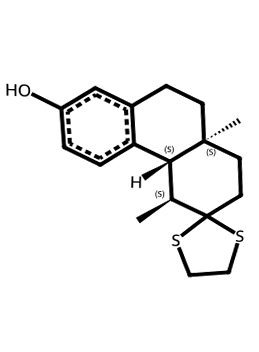 C[C@H]1[C@@H]2c3ccc(O)cc3CC[C@@]2(C)CCC12SCCS2